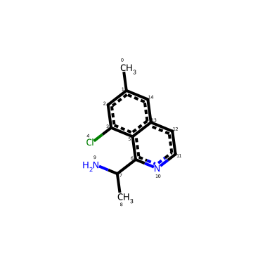 Cc1cc(Cl)c2c(C(C)N)nccc2c1